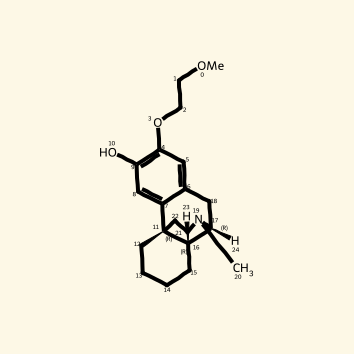 COCCOc1cc2c(cc1O)[C@@]13CCCC[C@H]1[C@@H](C2)N(C)CC3